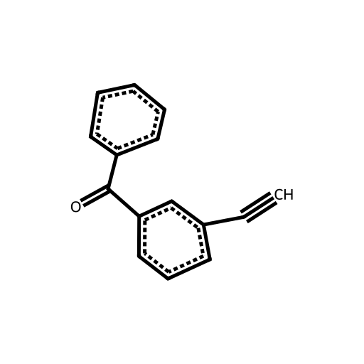 C#Cc1cccc(C(=O)c2ccccc2)c1